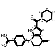 C=C1CCN(c2ccc(C(=O)O)cc2)c2[nH]c(C(=O)N3CCCCC3)cc21